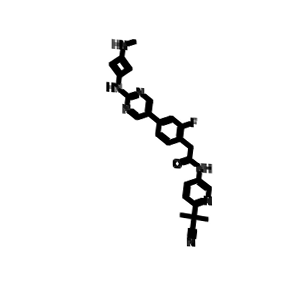 CNC1=CC(Nc2ncc(-c3ccc(CC(=O)Nc4ccc(C(C)(C)C#N)nc4)c(F)c3)cn2)=C1